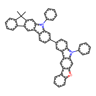 CC1(C)c2ccccc2-c2cc3c4ccc(-c5ccc6c(c5)c5cc7c(cc5n6-c5ccccc5)oc5ccccc57)cc4n(-c4ccccc4)c3cc21